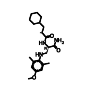 COc1cc(C)c(NC[C@H](NC(=O)[CH]CC2CCCCC2)C(N)=O)c(C)c1